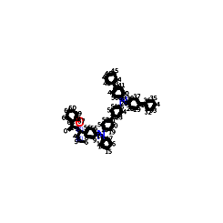 C=c1/c(=C(\C=C/C)c2ccc(N(c3ccccc3)c3ccc(-c4ccc(N(c5ccc(-c6ccccc6)cc5)c5ccc(-c6ccccc6)cc5)cc4)cc3)cc2)oc2ccccc12